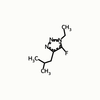 CCn1nnc(CC(C)C)c1F